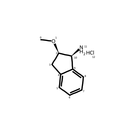 CO[C@@H]1Cc2ccccc2[C@@H]1N.Cl